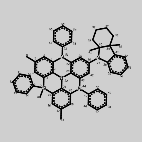 Cc1cc2c3c(c1)[Si](C)(c1ccccc1)c1cc(C)cc4c1B3c1c(cc(N3c5ccccc5C5(C)CCCCC35C)cc1N4c1ccccc1)N2c1ccccc1